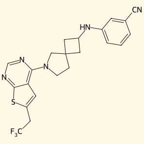 N#Cc1cccc(NC2CC3(CCN(c4ncnc5sc(CC(F)(F)F)cc45)C3)C2)c1